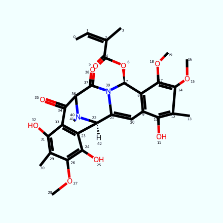 C/C=C(/C)C(=O)O[C@H]1c2c(c(O)c(C)c(OC)c2OC)C=C2[C@H]3c4c(O)c(OC)c(C)c(O)c4C(=O)C(C(=O)N21)N3C